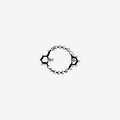 C1=CC2=CSCCCSCC3=CC=CC(=CSCCCSCC(=C1)N2)N3